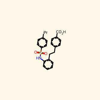 CC(C)c1ccc(S(=O)(=O)Nc2ccccc2CCc2ccc(C(=O)O)cc2)cc1